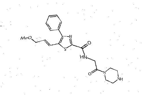 COC/C=C/c1sc(C(=O)NCC(=O)N2CCNCC2)nc1-c1ccccc1